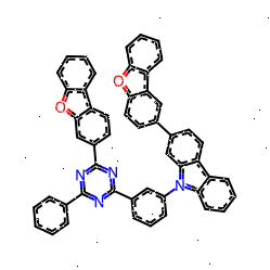 c1ccc(-c2nc(-c3cccc(-n4c5ccccc5c5ccc(-c6ccc7oc8ccccc8c7c6)cc54)c3)nc(-c3ccc4c(c3)oc3ccccc34)n2)cc1